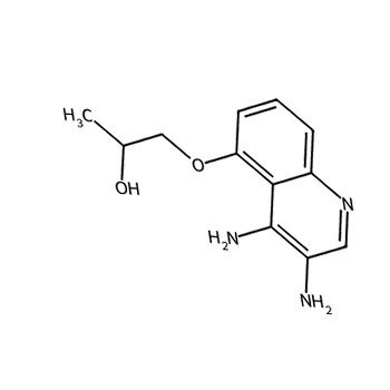 CC(O)COc1cccc2ncc(N)c(N)c12